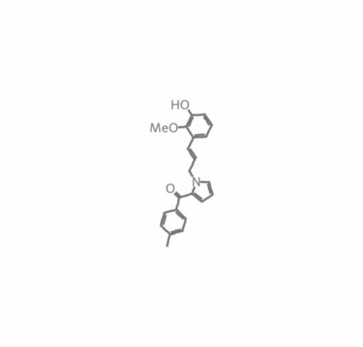 COc1c(O)cccc1/C=C/Cn1cccc1C(=O)c1ccc(C)cc1